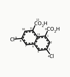 O=C(O)c1cc(Cl)cc2cc(Cl)cc(C(=O)O)c12